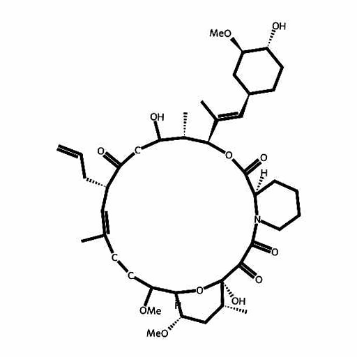 C=CC[C@H]1/C=C(/C)CCC(OC)[C@H]2O[C@@](O)(C(=O)C(=O)N3CCCC[C@@H]3C(=O)O[C@H](/C(C)=C/[C@@H]3CC[C@@H](O)[C@H](OC)C3)[C@@H](C)C(O)CC1=O)[C@H](C)C[C@@H]2OC